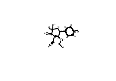 CCOC1=C(C#N)C(=O)C(C)(C)CC1c1ccc(C)cc1